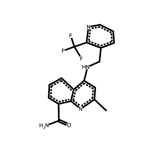 Cc1cc(NCc2cccnc2C(F)(F)F)c2cccc(C(N)=O)c2n1